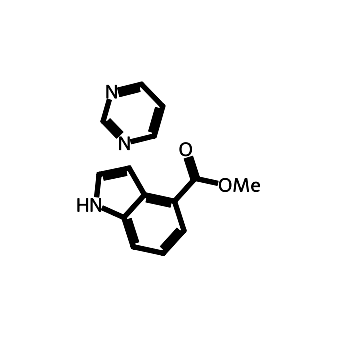 COC(=O)c1cccc2[nH]ccc12.c1cncnc1